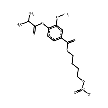 COc1cc(C(=O)OCCCCO[N+](=O)[O-])ccc1OC(=O)C(C)N